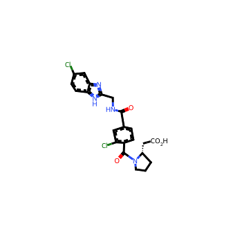 O=C(O)C[C@@H]1CCCN1C(=O)c1ccc(C(=O)NCc2nc3cc(Cl)ccc3[nH]2)cc1Cl